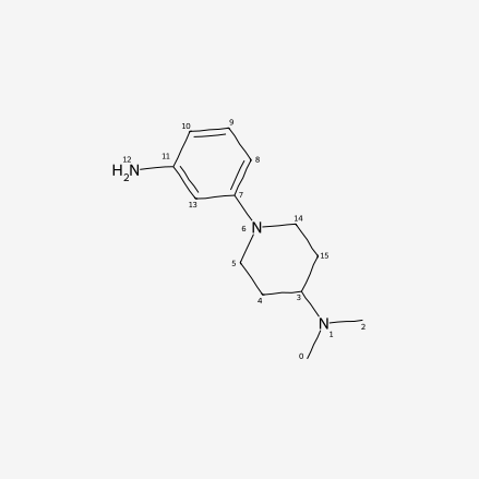 CN(C)C1CCN(c2cccc(N)c2)CC1